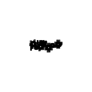 Fc1ccccc1Oc1ccc2c(-c3cccc(OCc4ccccc4)c3)n[nH]c2c1